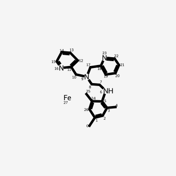 Cc1cc(C)c(NCCN(Cc2ccccn2)Cc2ccccn2)c(C)c1.[Fe]